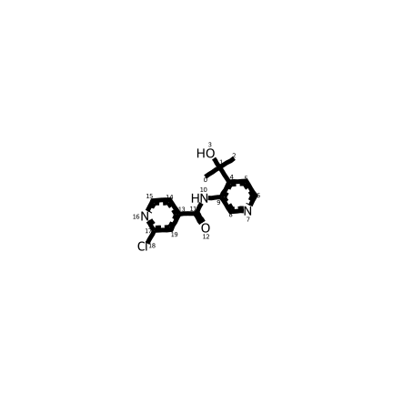 CC(C)(O)c1ccncc1NC(=O)c1ccnc(Cl)c1